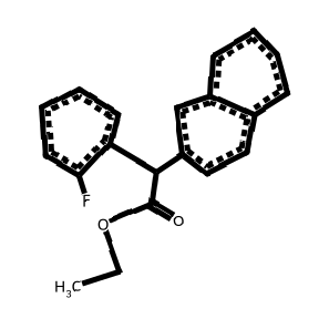 CCOC(=O)C(c1ccc2ccccc2c1)c1ccccc1F